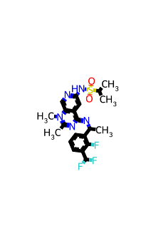 Cc1nc(=NC(C)c2cccc(C(F)F)c2F)c2cc(NS(=O)(=O)C(C)C)ncc2n1C